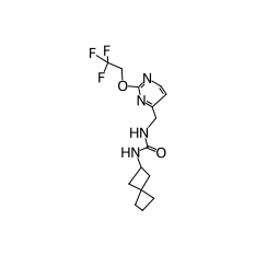 O=C(NCc1ccnc(OCC(F)(F)F)n1)NC1CC2(CCC2)C1